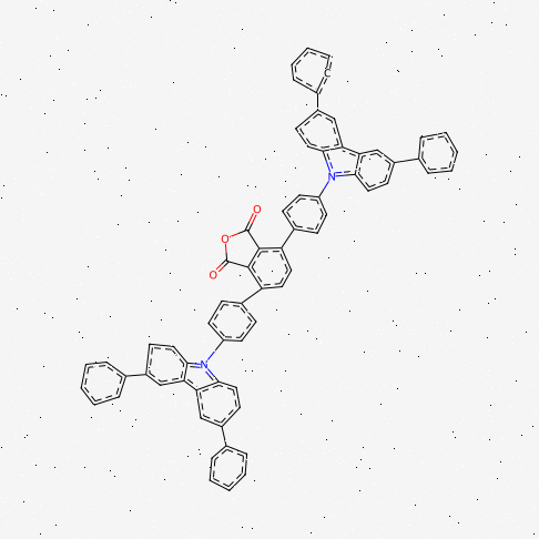 O=C1OC(=O)c2c(-c3ccc(-n4c5ccc(-c6ccccc6)cc5c5cc(-c6ccccc6)ccc54)cc3)ccc(-c3ccc(-n4c5ccc(-c6ccccc6)cc5c5cc(-c6ccccc6)ccc54)cc3)c21